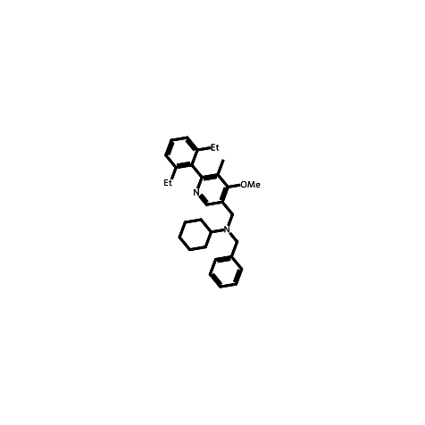 CCc1cccc(CC)c1-c1ncc(CN(Cc2ccccc2)C2CCCCC2)c(OC)c1C